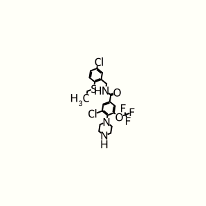 CCSc1ccc(Cl)cc1CNC(=O)c1cc(Cl)c(N2CCNCC2)c(OC(F)(F)F)c1